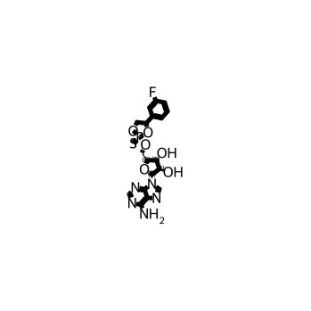 Nc1ncnc2c1ncn2[C@@H]1O[C@H](COP2(=S)OCC(c3cccc(F)c3)O2)[C@@H](O)[C@H]1O